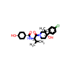 CC(C)[C@@H](NC(=O)[C@H]1CC[C@@H](O)CC1)C(=O)N1CC[C@](O)(c2ccc(Cl)cc2)C(C)(C)C1